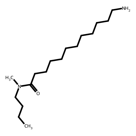 CCCCN(C)C(=O)CCCCCCCCCCCN